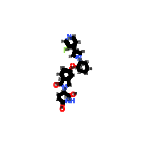 O=C1CC[C@@H](N2Cc3cc(O[C@@H]4CCCC[C@@H]4N4CC(c5ccncc5F)C4)ccc3C2=O)C(=O)N1